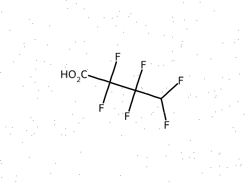 O=C(O)C(F)(F)C(F)(F)C(F)F